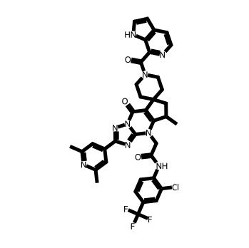 Cc1cc(-c2nc3n(CC(=O)Nc4ccc(C(F)(F)F)cc4Cl)c4c(c(=O)n3n2)C2(CCN(C(=O)c3nccc5cc[nH]c35)CC2)CC4C)cc(C)n1